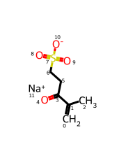 C=C(C)C(=O)CCS(=O)(=O)[O-].[Na+]